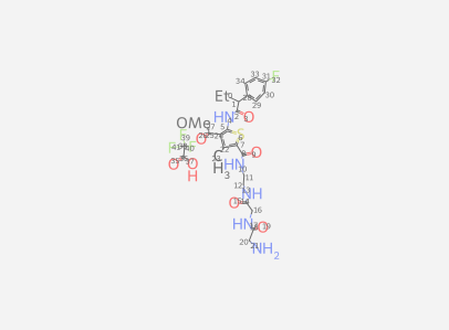 CCC(C(=O)Nc1sc(C(=O)NCCNC(=O)CNC(=O)CN)c(C)c1C(=O)OC)c1ccc(F)cc1.O=C(O)C(F)(F)F